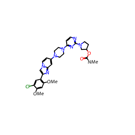 CNC(=O)OC1CCN(c2nccc(N3CCN(c4ccn5cc(-c6cc(Cl)c(OC)cc6OC)nc5c4)CC3)n2)C1